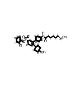 N#C[Se]CCCCCC(=O)Nc1ccc(C2=C(c3ccc(O)cc3)C3CC(S(=O)(=O)Oc4ccccc4Cl)C2O3)cc1